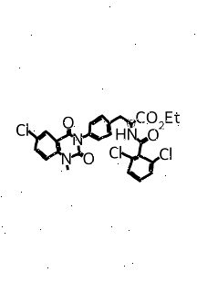 CCOC(=O)[C@H](Cc1ccc(-n2c(=O)c3cc(Cl)ccc3n(C)c2=O)cc1)NC(=O)c1c(Cl)cccc1Cl